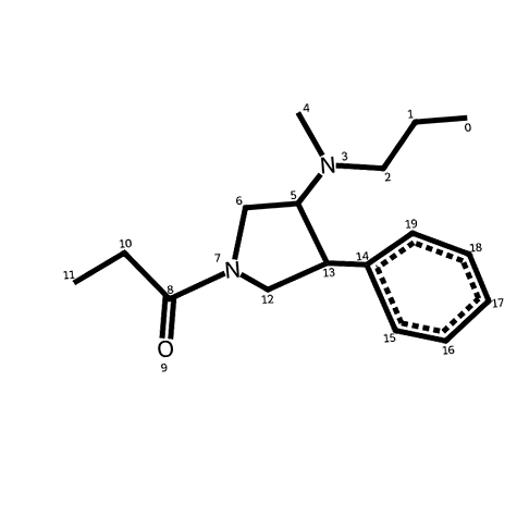 CCCN(C)C1CN(C(=O)CC)CC1c1ccccc1